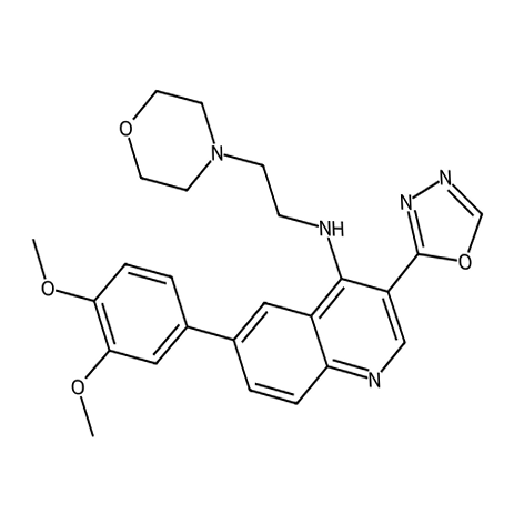 COc1ccc(-c2ccc3ncc(-c4nnco4)c(NCCN4CCOCC4)c3c2)cc1OC